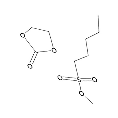 CCCCCS(=O)(=O)OC.O=C1OCCO1